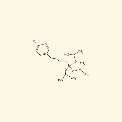 CC(C)O[Si](CCCCc1ccc(F)cc1)(OC(C)C)OC(C)C